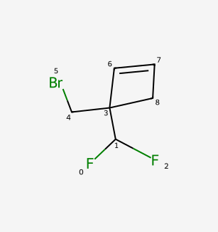 FC(F)C1(CBr)C=CC1